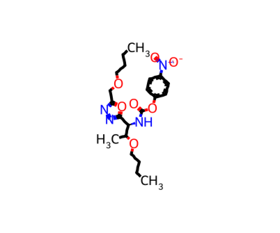 CCCCOCc1nnc([C@@H](NC(=O)Oc2ccc([N+](=O)[O-])cc2)C(C)OCCCC)o1